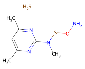 Cc1cc(C)nc(N(C)SON)n1.S